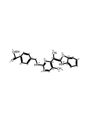 COC(=O)c1ccc(CNc2ncc(C)c(C(C#N)=C3Nc4ccccc4O3)n2)cc1